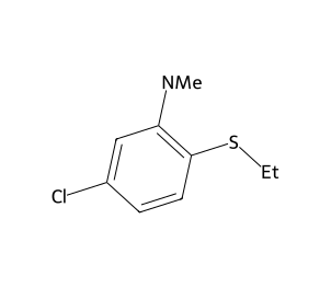 CCSc1ccc(Cl)cc1NC